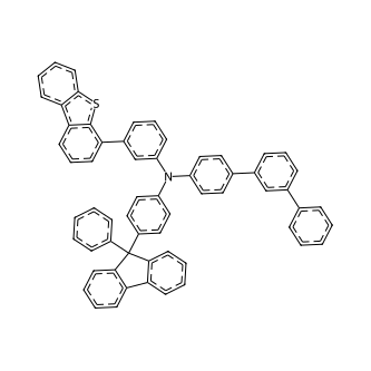 c1ccc(-c2cccc(-c3ccc(N(c4ccc(C5(c6ccccc6)c6ccccc6-c6ccccc65)cc4)c4cccc(-c5cccc6c5sc5ccccc56)c4)cc3)c2)cc1